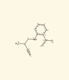 CC(C#N)CNc1ccccc1[N+](=O)[O-]